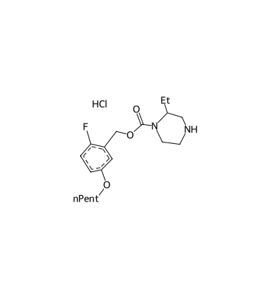 CCCCCOc1ccc(F)c(COC(=O)N2CCNCC2CC)c1.Cl